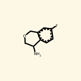 NC1COCc2cc(F)ccc21